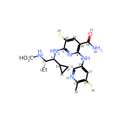 CC[C@H](NC(=O)O)[C@@H](Nc1nc(Nc2cnc(C)c(F)c2)c(C(N)=O)cc1F)C1CC1